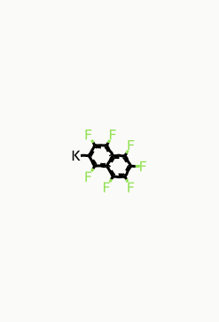 Fc1c(F)c(F)c2c(F)[c]([K])c(F)c(F)c2c1F